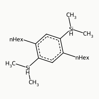 CCCCCCc1cc([SiH](C)C)c(CCCCCC)cc1[SiH](C)C